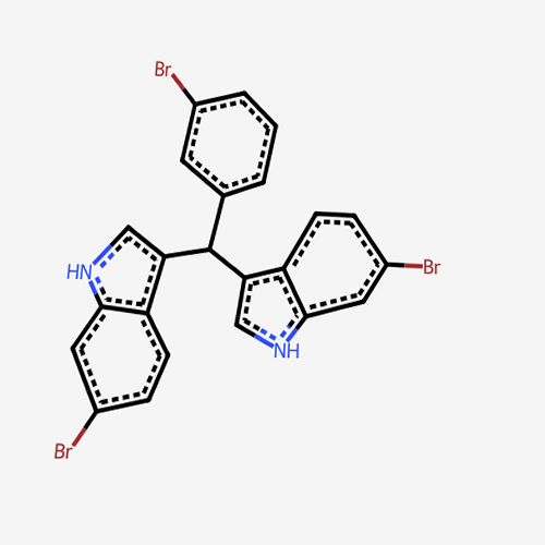 Brc1cccc(C(c2c[nH]c3cc(Br)ccc23)c2c[nH]c3cc(Br)ccc23)c1